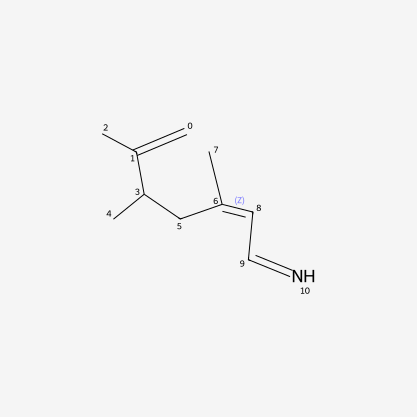 C=C(C)C(C)C/C(C)=C\C=N